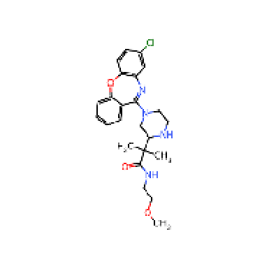 COCCNC(=O)C(C)(C)C1CN(C2=Nc3cc(Cl)ccc3Oc3ccccc32)CCN1